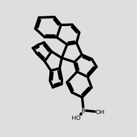 OB(O)c1ccc2c3c(ccc2c1)-c1ccc2ccccc2c1C31c2ccccc2-c2ccccc21